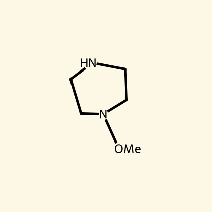 [CH2]ON1CCNCC1